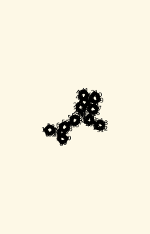 C1=CCCC(n2c3ccccc3c3cc(-c4ccc(N(C5=CCC6C(=C5)C(c5ccccc5)(c5ccccc5)c5ccccc56)c5ccc(-c6ccccc6)cc5)cc4)ccc32)=C1